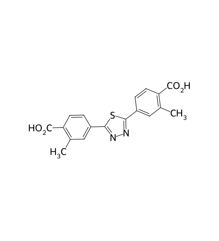 Cc1cc(-c2nnc(-c3ccc(C(=O)O)c(C)c3)s2)ccc1C(=O)O